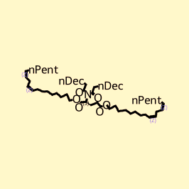 CCCCC/C=C\C/C=C\CCCCCCCCOC(=O)CC[C@@H](C(=O)OCCCCCCCC/C=C\C/C=C\CCCCC)N(C(=O)CCCCCCCCCCC)C(=O)CCCCCCCCCCC